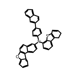 C1=Cc2sc3c(N(c4ccc(-c5ccc6ccccc6c5)cc4)c4ccc5c(ccc6oc7ccccc7c65)c4)cccc3c2CC1